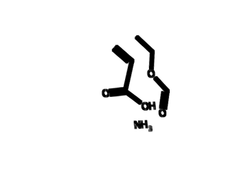 C=CC(=O)O.CCOC=O.N